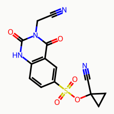 N#CCn1c(=O)[nH]c2ccc(S(=O)(=O)OC3(C#N)CC3)cc2c1=O